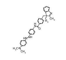 CC1=Nc2ccccc2C1(C)Cc1ccc(C(=O)Nc2ccc(NNc3ccc(N(C)C)cc3)cc2)cc1